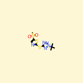 CC(C)(C)n1nnc(Sc2ncc(S(C)(=O)=O)s2)n1